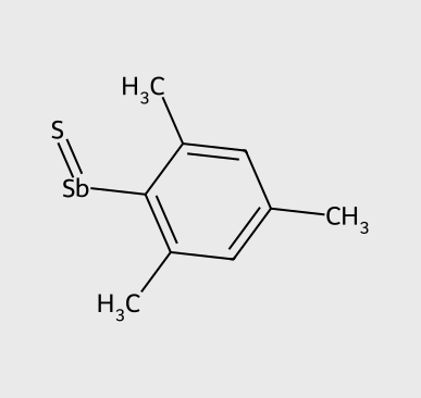 Cc1cc(C)[c]([Sb]=[S])c(C)c1